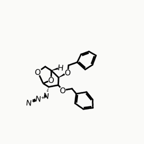 [N-]=[N+]=N[C@@H]1C2OC[C@@H](O2)[C@@H](OCc2ccccc2)C1OCc1ccccc1